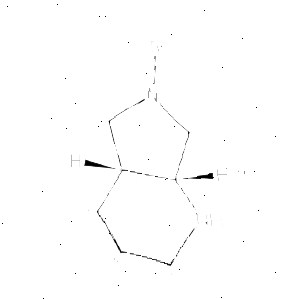 BrN1C[C@H]2CCCN[C@H]2C1